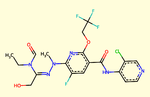 CCN(C=O)/C(CO)=N\N(C)c1nc(OCC(F)(F)F)c(C(=O)Nc2ccncc2Cl)cc1F